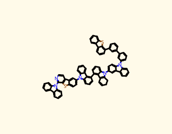 C1=Cc2c(n(-c3ccc4c(c3)c3ccccc3n4-c3cccc(-c4cccc(-c5cccc6c5sc5ccccc56)c4)c3)c3cccc(-c4cccc5c4c4ccccc4n5-c4ccc5sc6c(-n7c8ccccc8c8ccccc87)nccc6c5c4)c23)CC1